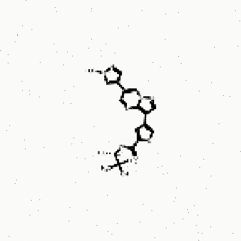 Cn1cc(-c2cnc3c(-c4csc(C(=O)N[C@H](C(C)(C)O)C(F)(F)F)c4)cnn3c2)cn1